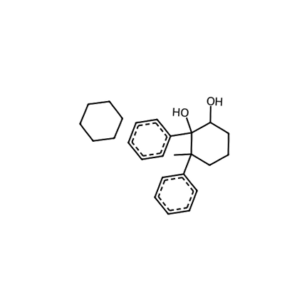 C1CCCCC1.CC1(c2ccccc2)CCCC(O)C1(O)c1ccccc1